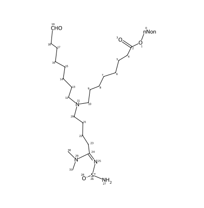 CCCCCCCCCOC(=O)CCCCCCCN(CCCCCCCC=O)CCCC/C(=N/[S+](N)[O-])N(C)C